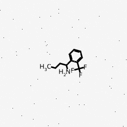 CCCC(N)c1ccccc1C(F)(F)F